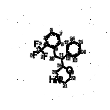 FC(F)(F)c1ccccc1C[C@@H](c1ccccc1)[C@@H]1CNCCO1